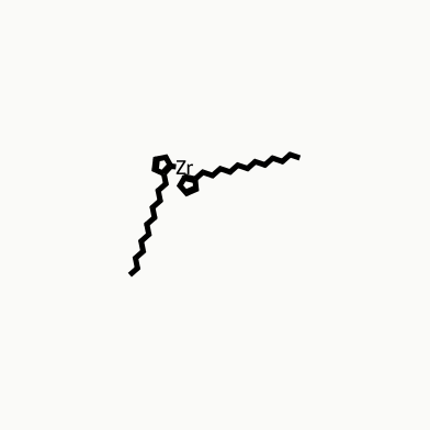 CCCCCCCCCCCCC1=[C]([Zr][C]2=C(CCCCCCCCCCCC)C=CC2)CC=C1